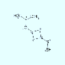 CC(C)OC1CN(SS)C1